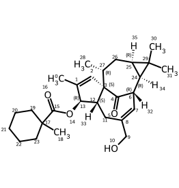 CC1=C[C@]23C(=O)[C@@H](C=C(CO)C[C@@H]2[C@H]1OC(=O)C1(C)CCCCC1)[C@H]1[C@@H](C[C@H]3C)C1(C)C